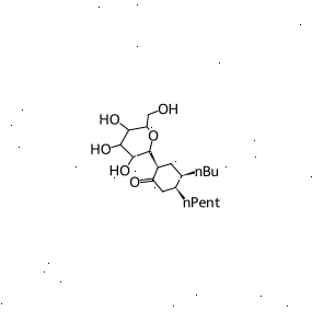 CCCCC[C@H]1CC(=O)[C@@H](C2OC(CO)C(O)C(O)C2O)C[C@H]1CCCC